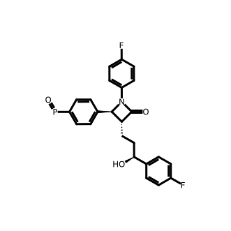 O=Pc1ccc([C@@H]2[C@@H](CC[C@H](O)c3ccc(F)cc3)C(=O)N2c2ccc(F)cc2)cc1